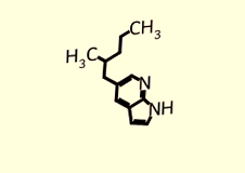 CCCC(C)Cc1cnc2[nH]ccc2c1